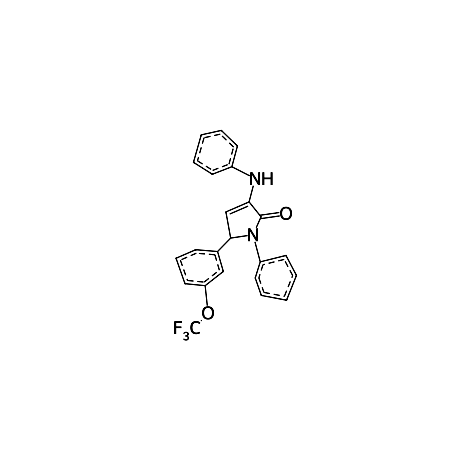 O=C1C(Nc2ccccc2)=CC(c2cccc(OC(F)(F)F)c2)N1c1ccccc1